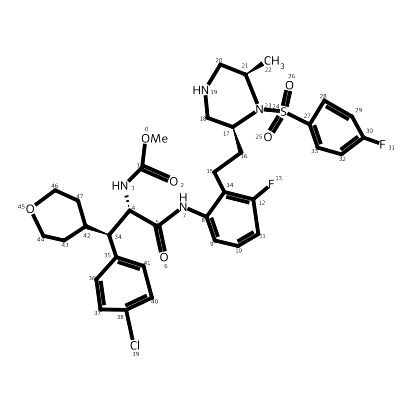 COC(=O)N[C@H](C(=O)Nc1cccc(F)c1CC[C@H]1CNC[C@@H](C)N1S(=O)(=O)c1ccc(F)cc1)[C@@H](c1ccc(Cl)cc1)C1CCOCC1